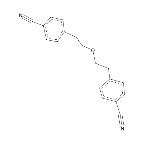 N#Cc1ccc(CCOCCc2ccc(C#N)cc2)cc1